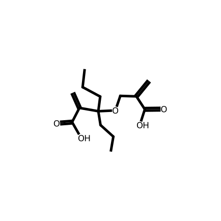 C=C(COC(CCC)(CCC)C(=C)C(=O)O)C(=O)O